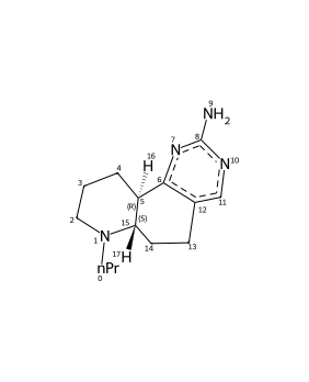 CCCN1CCC[C@H]2c3nc(N)ncc3CC[C@@H]21